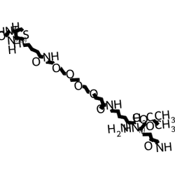 CC(C)(C)OC(=O)[C@H](CCC(=O)C=N)NC(=O)C(N)CCCCNC(=O)CCOCCOCCOCCOCCNC(=O)CCCC[C@@H]1SC[C@@H]2NC(=O)N[C@@H]21